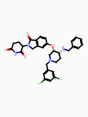 O=C1CCC(N2Cc3cc(O[C@@H]4CN(Cc5cc(F)cc(F)c5)CC[C@H]4NCc4ccccc4)ccc3C2=O)C(=O)N1